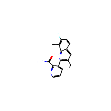 Cc1c(F)ccc2cc([CH]C(F)(F)F)c(-c3cccnc3C(N)=O)nc12